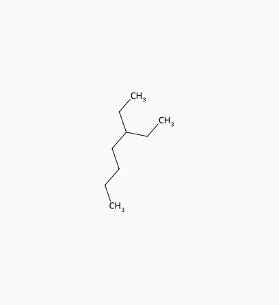 CCCC[C](CC)CC